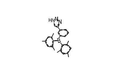 Cc1cc(C)c(B(c2cccc(-c3c[nH]nn3)c2)c2c(C)cc(C)cc2C)c(C)c1